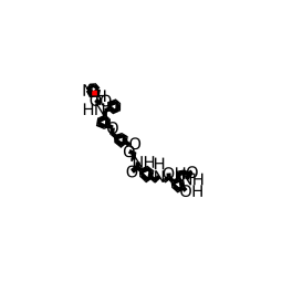 O=C(NC(c1ccccc1)c1cccc(OCc2ccc(C(=O)OCCNC(=O)c3ccc(CNCC(O)c4ccc(O)c5[nH]c(=O)ccc45)cc3)cc2)c1)O[C@H]1CN2CCC1CC2